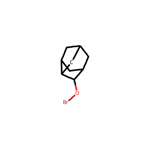 BrOC1C2CC3CC(C2)C1C3